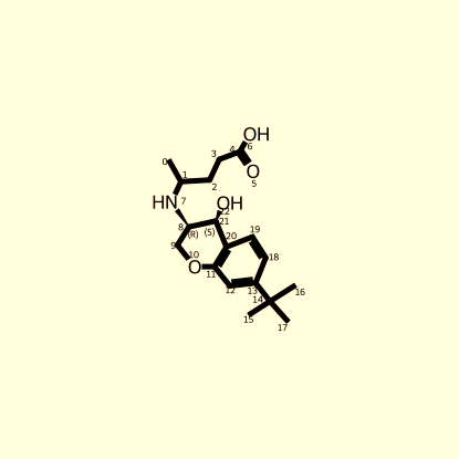 CC(CCC(=O)O)N[C@@H]1COc2cc(C(C)(C)C)ccc2[C@@H]1O